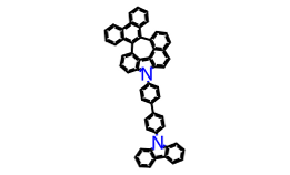 c1cc2c3c(c1)ccc1c3c3c(cccc3n1-c1ccc(-c3ccc(-n4c5ccccc5c5ccccc54)cc3)cc1)-c1c-2c2ccccc2c2ccccc12